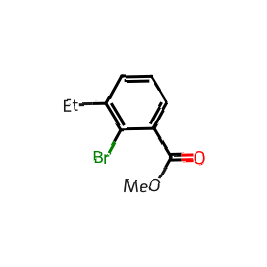 CCc1cccc(C(=O)OC)c1Br